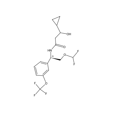 O=C(CC(O)C1CC1)N[C@@H](COC(F)F)c1cccc(OC(F)(F)F)c1